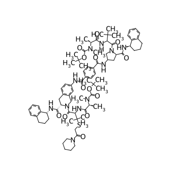 C[C@@H](C(=O)NC(C(=O)N1CC(NC(=O)c2ccc(C(=O)Nc3ccc4c(c3)CN(C(=O)C(NC(=O)[C@H](C)N(C)C(=O)OC(C)(C)C)C(C)(C)SCC(=O)N3CCCCC3)[C@H](C(=O)N[C@@H]3CCCc5ccccc53)C4)cc2)CC1C(=O)N[C@@H]1CCCc2ccccc21)C(C)(C)C)N(C)C(=O)OC(C)(C)C